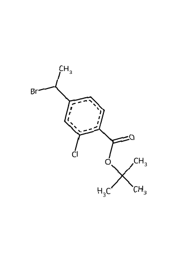 CC(Br)c1ccc(C(=O)OC(C)(C)C)c(Cl)c1